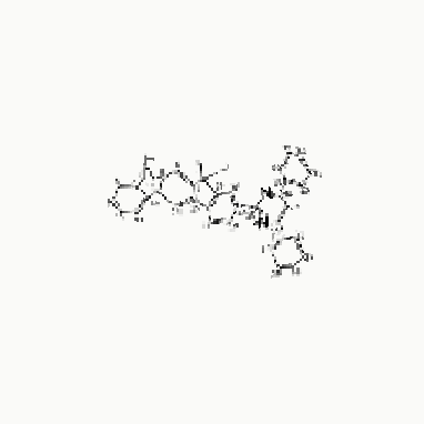 CC1(C)C2=CC3Nc4ccccc4C3C=C2c2ccc(-c3nc(-c4ccccc4)cc(-c4ccccc4)n3)cc21